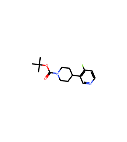 CC(C)(C)OC(=O)N1CCC(c2cnccc2F)CC1